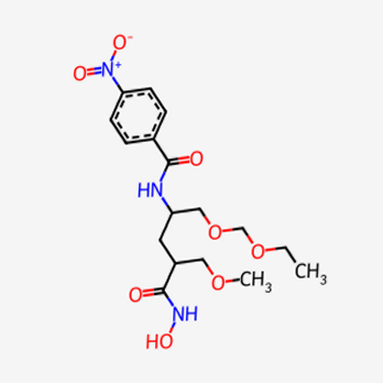 CCOCOCC(CC(COC)C(=O)NO)NC(=O)c1ccc([N+](=O)[O-])cc1